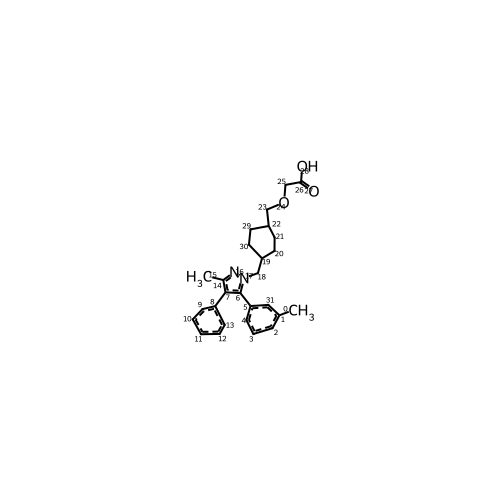 Cc1cccc(-c2c(-c3ccccc3)c(C)nn2CC2CCC(COCC(=O)O)CC2)c1